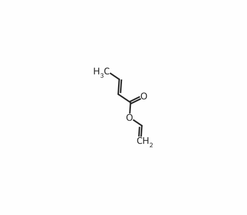 C=COC(=O)/C=C/C